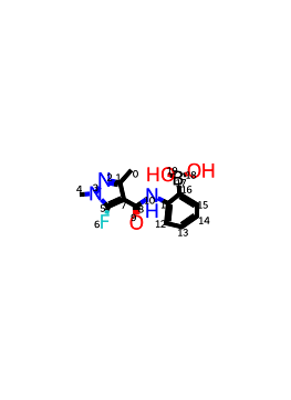 Cc1nn(C)c(F)c1C(=O)Nc1ccccc1B(O)O